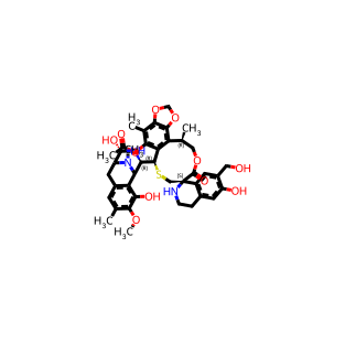 COc1c(C)cc2c(c1O)C1[C@H]([C@@H]3SC[C@@]4(NCCc5cc(O)c(CO)cc54)C(=O)OC[C@H](C)c4c5c(c(C)c(OC(C)=O)c43)OCO5)N[C@@H](O)C(C2)N1C